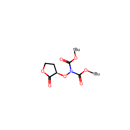 CC(C)(C)OC(=O)N(O[C@@H]1CCOC1=O)C(=O)OC(C)(C)C